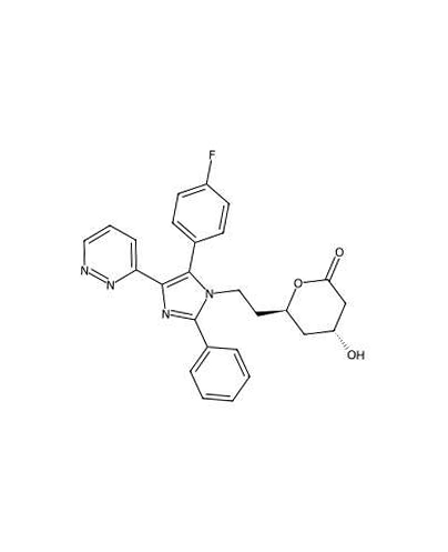 O=C1C[C@H](O)C[C@@H](CCn2c(-c3ccccc3)nc(-c3cccnn3)c2-c2ccc(F)cc2)O1